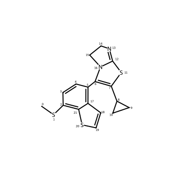 CSc1ccc(C2=C(C3CC3)SC3=NCCN32)c2ccsc12